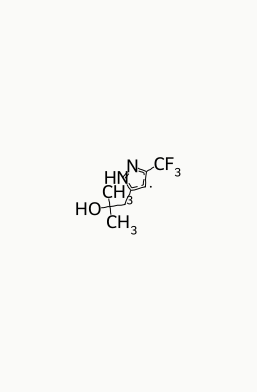 CC(C)(O)Cc1[c]c(C(F)(F)F)n[nH]1